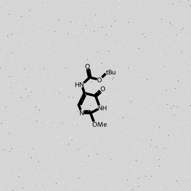 COc1ncc(NC(=O)OC(C)(C)C)c(=O)[nH]1